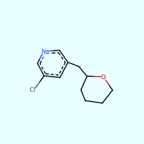 Clc1cncc([CH]C2CCCCO2)c1